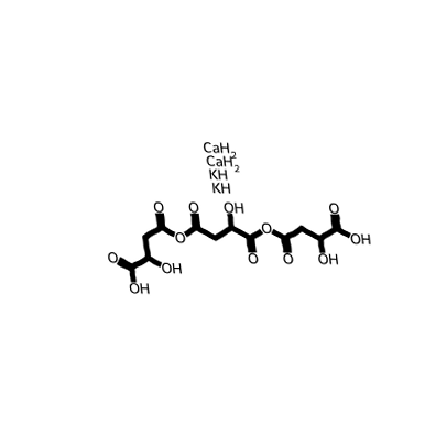 O=C(CC(O)C(=O)O)OC(=O)CC(O)C(=O)OC(=O)CC(O)C(=O)O.[CaH2].[CaH2].[KH].[KH]